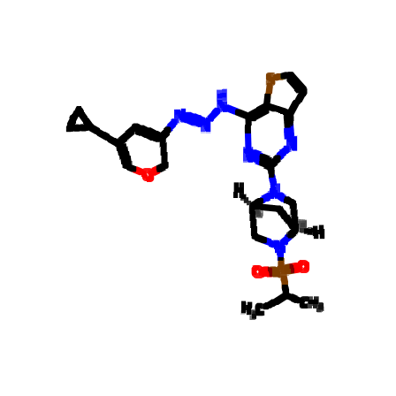 CC(C)S(=O)(=O)N1C[C@@H]2C[C@H]1CN2c1nc(NN=NC2=CC(C3CC3)=COC2)c2sccc2n1